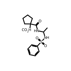 CC(NC(=O)C1(C(=O)O)CCCC1)NS(=O)(=O)c1ccccc1